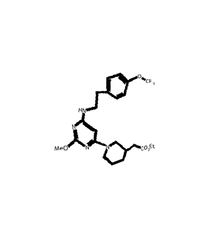 CCOC(=O)CC1CCCN(c2cc(NCCc3ccc(OC(F)(F)F)cc3)nc(OC)n2)C1